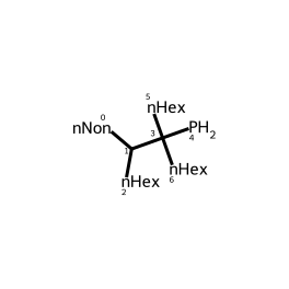 CCCCCCCCCC(CCCCCC)C(P)(CCCCCC)CCCCCC